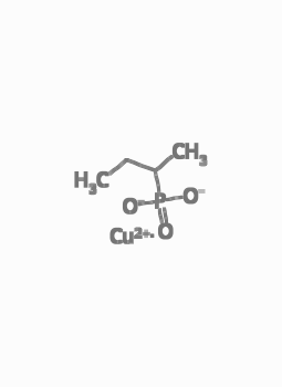 CCC(C)P(=O)([O-])[O-].[Cu+2]